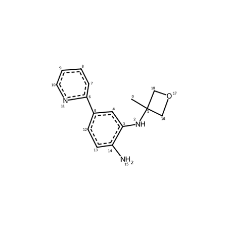 CC1(Nc2cc(-c3ccccn3)ccc2N)COC1